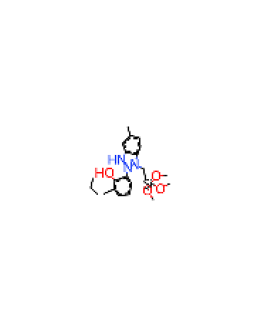 CCC.CO[Si](CCN1c2ccc(C)cc2NN1c1cccc(C)c1O)(OC)OC